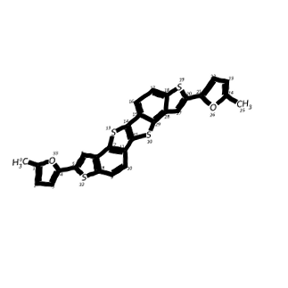 Cc1ccc(-c2cc3c(ccc4c3sc3c5ccc6sc(-c7ccc(C)o7)cc6c5sc43)s2)o1